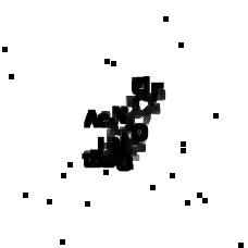 CC(=O)c1cc2c(c(-c3ccc(F)c(Cl)c3)n1)OCC2(C)N[S+]([O-])C(C)(C)C